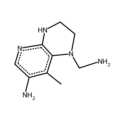 Cc1c(N)cnc2c1N(CN)CCN2